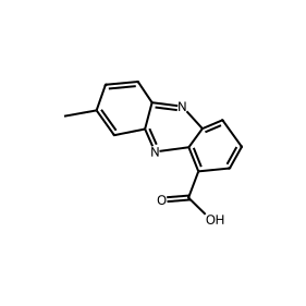 Cc1ccc2nc3cccc(C(=O)O)c3nc2c1